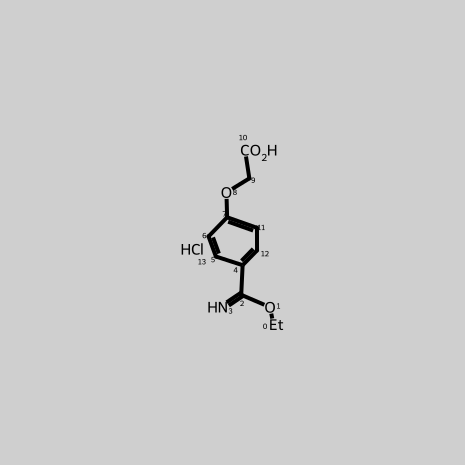 CCOC(=N)c1ccc(OCC(=O)O)cc1.Cl